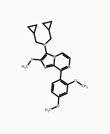 COc1ccc(-c2nccn3c(N(CC4CC4)CC4CC4)c(SC)nc23)c(OC)c1